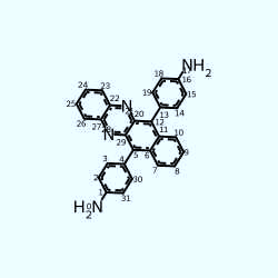 Nc1ccc(-c2c3ccccc3c(-c3ccc(N)cc3)c3nc4ccccc4nc23)cc1